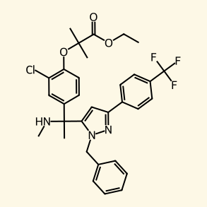 CCOC(=O)C(C)(C)Oc1ccc(C(C)(NC)c2cc(-c3ccc(C(F)(F)F)cc3)nn2Cc2ccccc2)cc1Cl